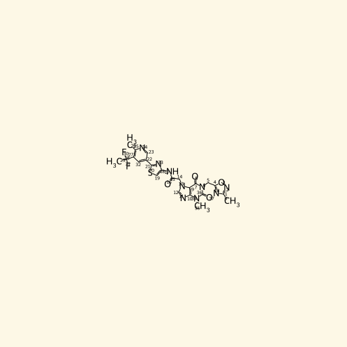 Cc1noc(Cn2c(=O)c3c(ncn3CC(=O)Nc3csc(-c4cnc(C)c(C(C)(F)F)c4)n3)n(C)c2=O)n1